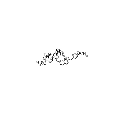 CC[C@H](C(Cc1ccc2ccc(NCc3ccc(OC)cc3)nc2c1)OC(C)(C)OC)n1ccc2c(OC)ncnc21